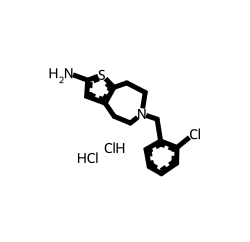 Cl.Cl.Nc1cc2c(s1)CCN(Cc1ccccc1Cl)CC2